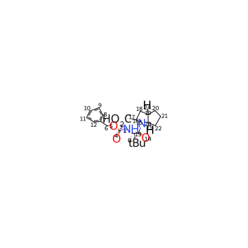 CC(C)(C)[C@H](NC(=O)OCc1ccccc1)C(=O)N1C(C(=O)O)C[C@@H]2CCC[C@@H]21